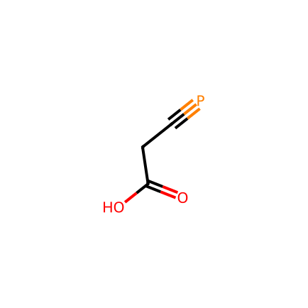 O=C(O)CC#P